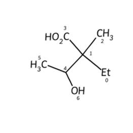 CCC(C)(C(=O)O)C(C)O